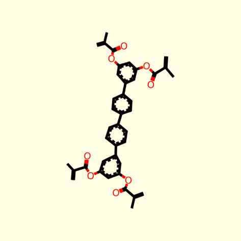 C=C(C)C(=O)Oc1cc(OC(=O)C(=C)C)cc(-c2ccc(-c3ccc(-c4cc(OC(=O)C(=C)C)cc(OC(=O)C(=C)C)c4)cc3)cc2)c1